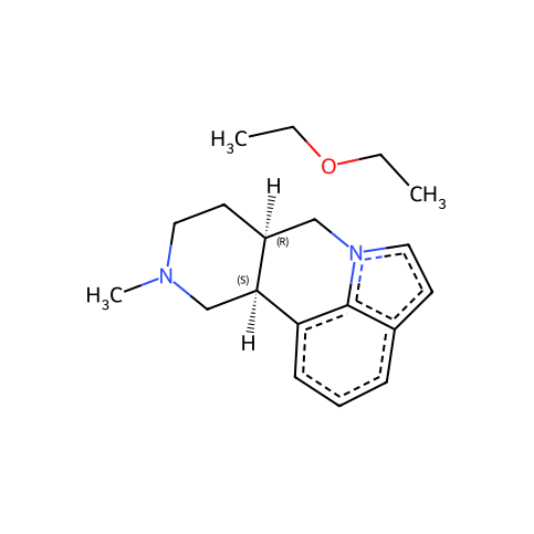 CCOCC.CN1CC[C@H]2Cn3ccc4cccc(c43)[C@H]2C1